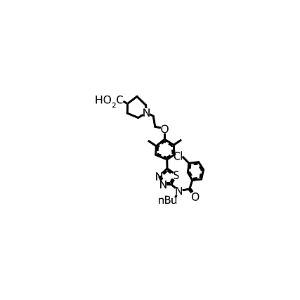 CCCCN(C(=O)c1cccc(Cl)c1)c1nnc(-c2cc(C)c(OCCN3CCC(C(=O)O)CC3)c(C)c2)s1